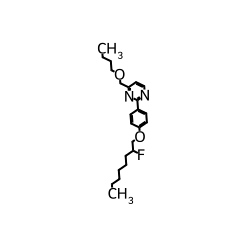 CCCCCCC(F)COc1ccc(-c2nccc(COCCCC)n2)cc1